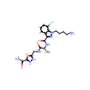 CC(C)(C)[C@H](NC(=O)c1nn(CCCCN)c2c(F)cccc12)C(=O)NCc1nnc(C(N)=O)o1